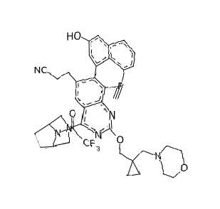 C#Cc1cccc2cc(O)cc(-c3c(CCC#N)cc4c(N5CC6CCC(C5)N6C(=O)C(F)(F)F)nc(OCC5(CN6CCOCC6)CC5)nc4c3F)c12